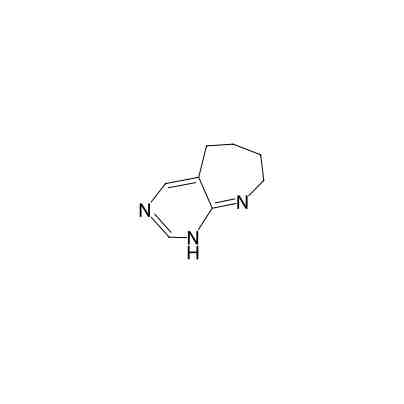 C1=NC=C2CCCCN=C2N1